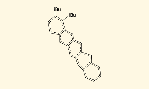 CCC(C)c1ccc2cc3cc4cc5ccccc5cc4cc3cc2c1C(C)CC